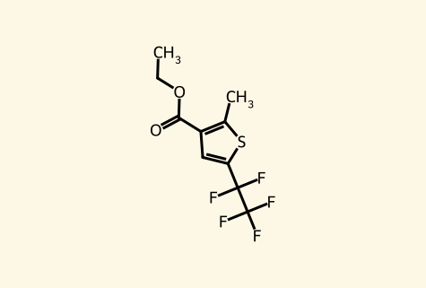 CCOC(=O)c1cc(C(F)(F)C(F)(F)F)sc1C